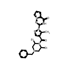 CCC1CN(Cc2ccccc2)CC(CC)N1C(=O)c1cnn(-c2nn3cccc3c(=O)[nH]2)c1C